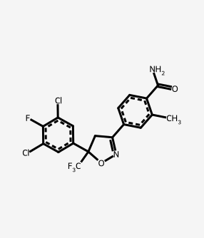 Cc1cc(C2=NOC(c3cc(Cl)c(F)c(Cl)c3)(C(F)(F)F)C2)ccc1C(N)=O